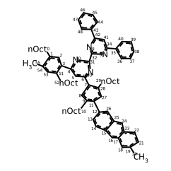 CCCCCCCCc1cc(-c2cc(-c3cc(CCCCCCCC)c(-c4ccc5cc6cc(C)ccc6cc5c4)cc3CCCCCCCC)nc(-c3nc(-c4ccccc4)cc(-c4ccccc4)n3)n2)c(CCCCCCCC)cc1C